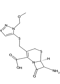 COCn1nncc1SCC1=C(C(=O)O)N2C(=O)C(N)[C@@H]2SC1